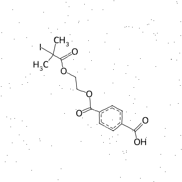 CC(C)(I)C(=O)OCCOC(=O)c1ccc(C(=O)O)cc1